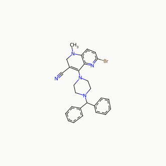 CN1CC(C#N)=C(N2CCN(C(c3ccccc3)c3ccccc3)CC2)c2nc(Br)ccc21